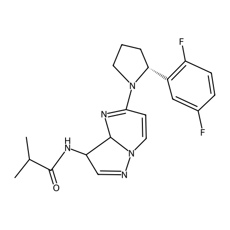 CC(C)C(=O)NC1C=NN2C=CC(N3CCC[C@@H]3c3cc(F)ccc3F)=NC12